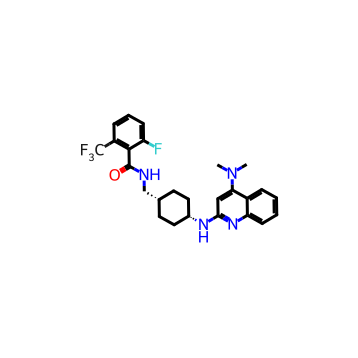 CN(C)c1cc(N[C@H]2CC[C@@H](CNC(=O)c3c(F)cccc3C(F)(F)F)CC2)nc2ccccc12